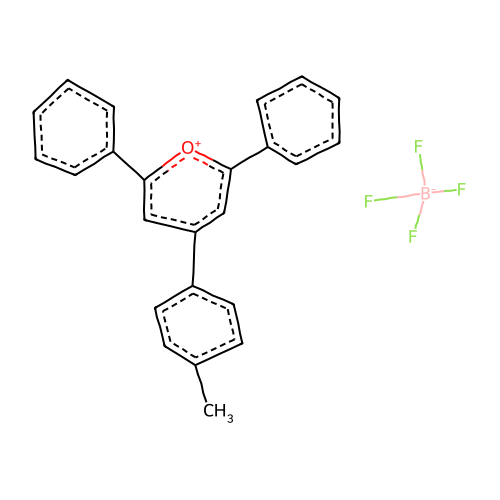 Cc1ccc(-c2cc(-c3ccccc3)[o+]c(-c3ccccc3)c2)cc1.F[B-](F)(F)F